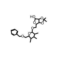 CC1C(COCc2ccccc2)OC(OCC2OC(O)C3OC(C)(C)OC23)C(C)C1C